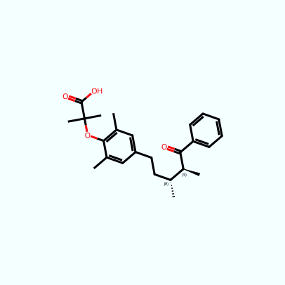 Cc1cc(CC[C@@H](C)[C@H](C)C(=O)c2ccccc2)cc(C)c1OC(C)(C)C(=O)O